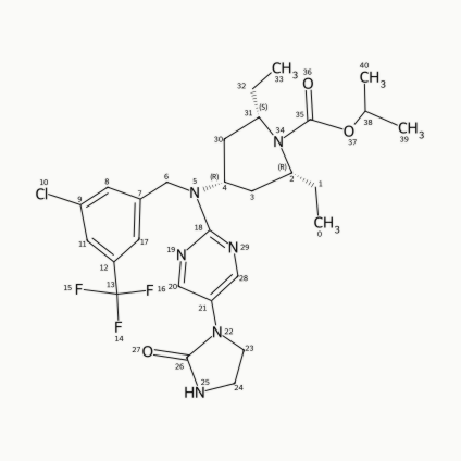 CC[C@@H]1C[C@H](N(Cc2cc(Cl)cc(C(F)(F)F)c2)c2ncc(N3CCNC3=O)cn2)C[C@H](CC)N1C(=O)OC(C)C